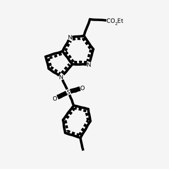 CCOC(=O)Cc1cnc2c(ccn2S(=O)(=O)c2ccc(C)cc2)n1